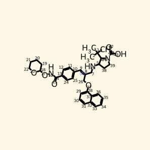 CC(C)(C)C1C(NC/C(=C/c2ccc(C(=O)NOC3CCCCO3)cc2)COc2cccc3ccccc23)CCN1C(=O)O